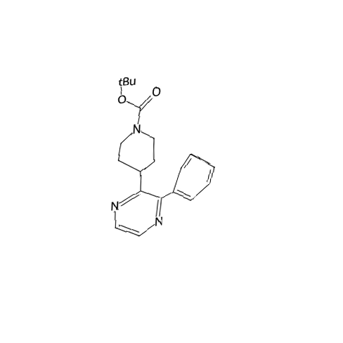 CC(C)(C)OC(=O)N1CCC(c2nccnc2-c2ccccc2)CC1